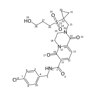 O=C(NCc1ccc(Cl)cc1)c1ccc2n(c1=O)CCN(CC1(S(=O)(=O)CCCO)CC1)C2=O